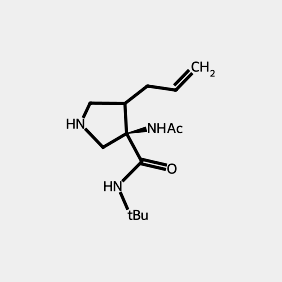 C=CCC1CNC[C@@]1(NC(C)=O)C(=O)NC(C)(C)C